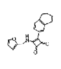 O=c1c(NCc2ccco2)c(-c2ccc3c(c2)CCCC3)c1=O